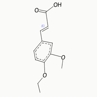 CCOc1ccc(/C=C/C(=O)O)cc1OC